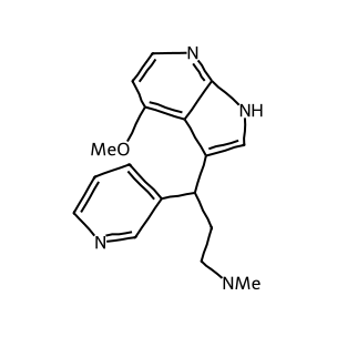 CNCCC(c1cccnc1)c1c[nH]c2nccc(OC)c12